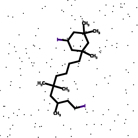 CC(CCI)CC(C)(C)CCCCC1(C)CC(I)CC(C)(C)C1